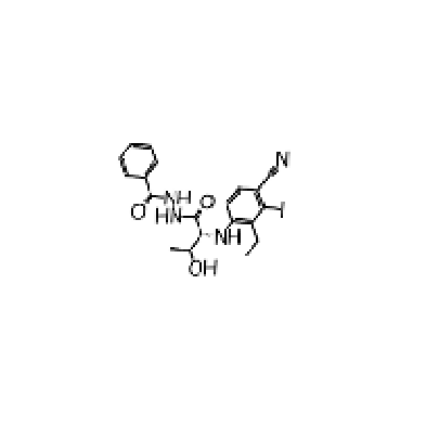 CCc1c(N[C@@H](C(=O)NNC(=O)c2ccccc2)[C@H](C)O)ccc(C#N)c1I